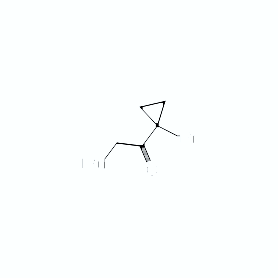 CC(C)C1(C(=O)CC(C)(C)C)CC1